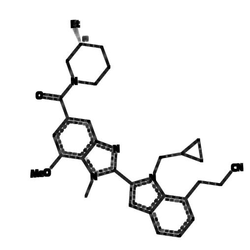 CC[C@@H]1CCCN(C(=O)c2cc(OC)c3c(c2)nc(-c2cc4cccc(CCC#N)c4n2CC2CC2)n3C)C1